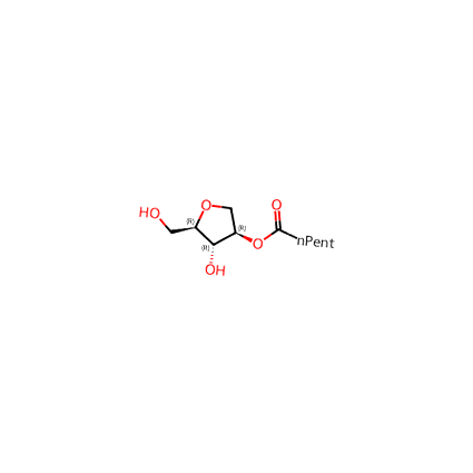 CCCCCC(=O)O[C@@H]1CO[C@H](CO)[C@H]1O